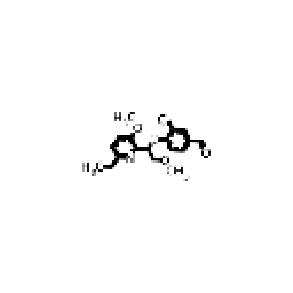 CCc1ccc(OC)c(C(COC)Oc2ccc(C=O)cc2Cl)n1